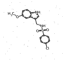 COc1ccc2[nH]cc(CNS(=O)(=O)c3ccc(Cl)cc3)c2c1